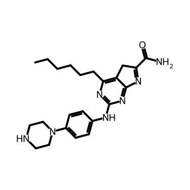 CCCCCCc1nc(Nc2ccc(N3CCNCC3)cc2)nc2c1CC(C(N)=O)=N2